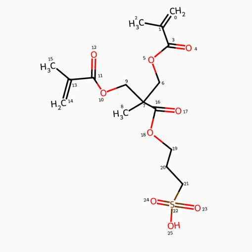 C=C(C)C(=O)OCC(C)(COC(=O)C(=C)C)C(=O)OCCCS(=O)(=O)O